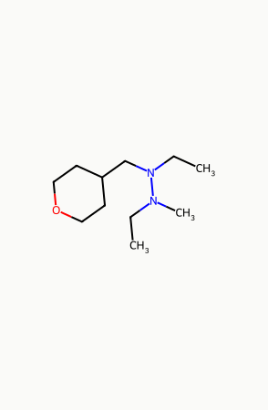 CCN(C)N(CC)CC1CCOCC1